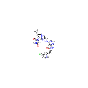 CN1C(=O)CN(c2cc(C3CC3)cn3cc(CNc4cc(NC(=O)[C@@H]5C[C@H]5c5cc(Cl)ccn5)ncn4)nc23)C1=O